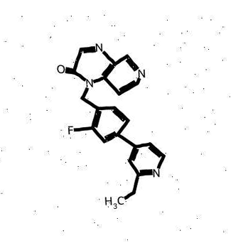 CCc1cc(-c2ccc(Cn3c(=O)cnc4cnccc43)c(F)c2)ccn1